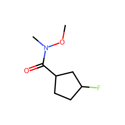 CON(C)C(=O)C1CCC(F)C1